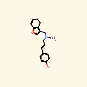 CN(C/C=C/c1ccc(Br)cc1)Cc1coc2c1CCC=C2